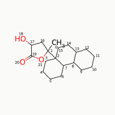 CC1(C23CCCCC2C2CCCCC2CC3)CC(O)C(=O)O1